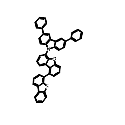 c1ccc(-c2ccc3c(c2)c2cc(-c4ccccc4)ccc2n3-c2cccc3c2oc2cccc(-c4cccc5c4sc4ccccc45)c23)cc1